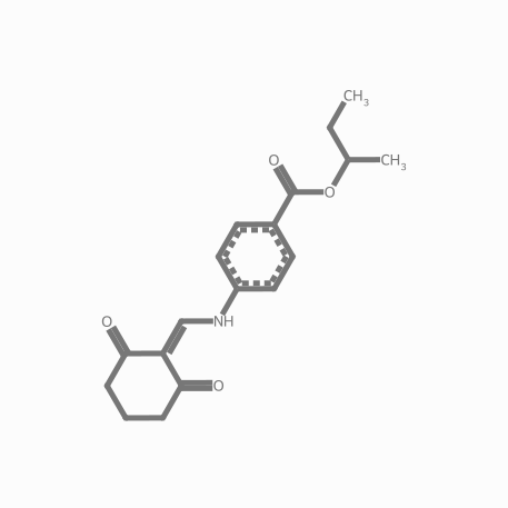 CCC(C)OC(=O)c1ccc(NC=C2C(=O)CCCC2=O)cc1